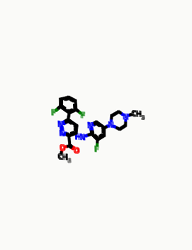 COC(=O)c1nnc(-c2c(F)cccc2F)cc1Nc1ncc(N2CCN(C)CC2)cc1F